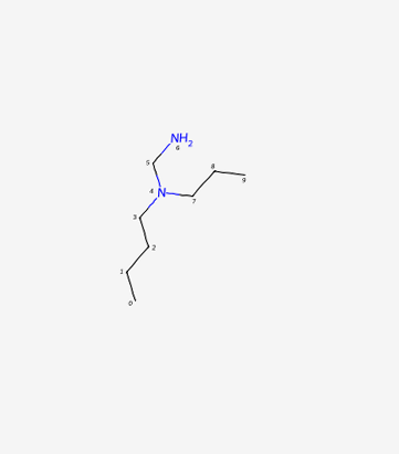 CCCCN(CN)CCC